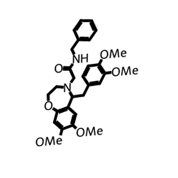 COc1ccc(CC2c3cc(OC)c(OC)cc3OCCN2CC(=O)NCc2ccccc2)cc1OC